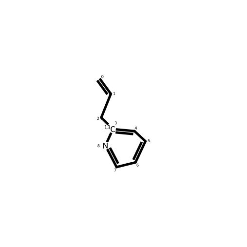 C=C[CH][13c]1ccccn1